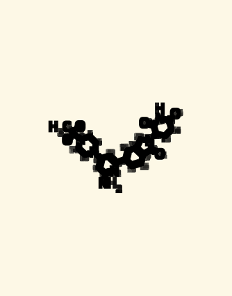 CS(=O)(=O)N1CCN(c2cc(N)nc(-c3ccc4c(c3)CN(C3CCC(=O)NC3=O)C4=O)c2)CC1